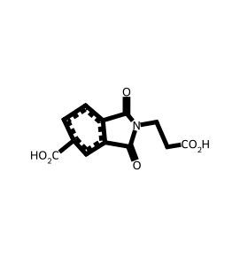 O=C(O)CCN1C(=O)c2ccc(C(=O)O)cc2C1=O